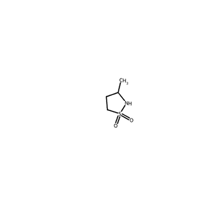 CC1CCS(=O)(=O)N1